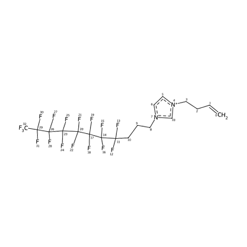 C=CCC[n+]1ccn(CCCC(F)(F)C(F)(F)C(F)(F)C(F)(F)C(F)(F)C(F)(F)C(F)(F)C(F)(F)F)c1